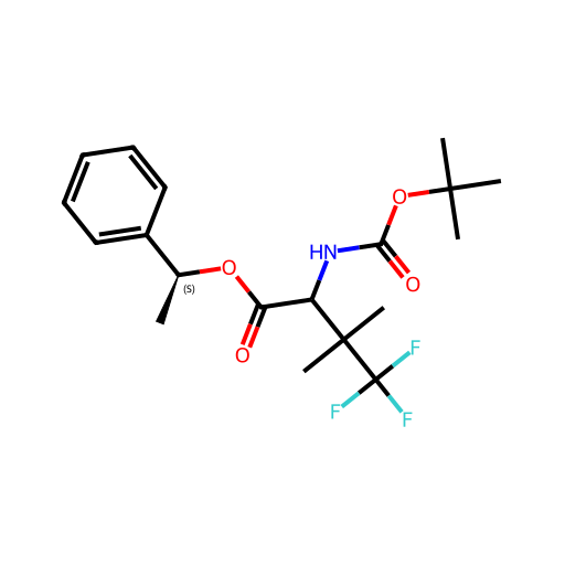 C[C@H](OC(=O)C(NC(=O)OC(C)(C)C)C(C)(C)C(F)(F)F)c1ccccc1